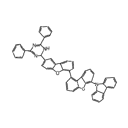 c1ccc(C2=NC(c3ccc4oc5c(-c6cccc7oc8c(-n9c%10ccccc%10c%10ccccc%109)cccc8c67)cccc5c4c3)NC(c3ccccc3)=N2)cc1